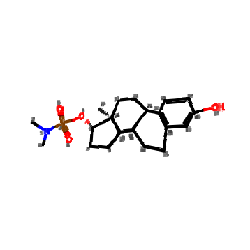 CN(C)S(=O)(=O)O[C@H]1CCC2C3CCc4cc(O)ccc4C3CC[C@@]21C